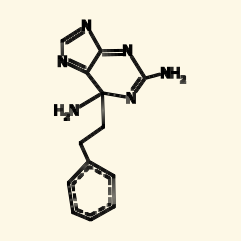 NC1=NC(N)(CCc2ccccc2)C2=NC=NC2=N1